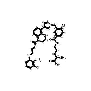 Cc1c(Cl)cccc1OCCOC(=O)N1CCSc2c(-c3cnn(Cc4cc(C(=O)NCCCC(N)C(=O)O)ccc4Cl)c3)cccc21